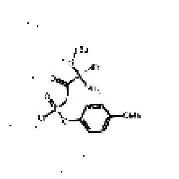 CCCCO[C@@](N)(C(=O)OP(=O)(Cl)Oc1ccc(OC)cc1)C(C)C